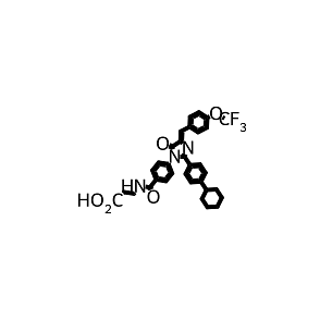 O=C(O)CCNC(=O)c1ccc(N2C(=O)/C(=C/c3ccc(OC(F)(F)F)cc3)N=C2c2ccc(C3CCCCC3)cc2)cc1